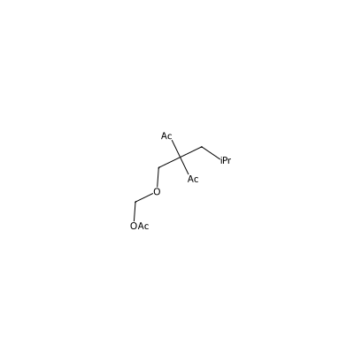 CC(=O)OCOCC(CC(C)C)(C(C)=O)C(C)=O